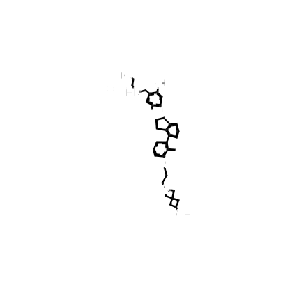 CCOc1cc(O[C@H]2CCc3c(-c4cccc(OCCCN5CC6(CC(O)C6)C5)c4C)cccc32)c(Cl)cc1CN[C@@H](CO)C(=O)O